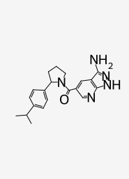 CC(C)c1ccc(C2CCCN2C(=O)c2cnc3[nH]nc(N)c3c2)cc1